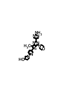 Cc1c(-c2ccc(N3CCC(O)C3)nc2)sc2c(N3CCOCC3)nc(-c3cnc(N)nc3)nc12